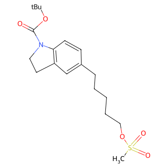 CC(C)(C)OC(=O)N1CCc2cc(CCCCCOS(C)(=O)=O)ccc21